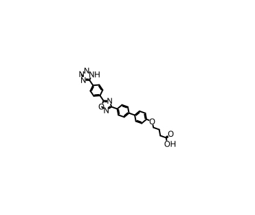 O=C(O)CCCOc1ccc(-c2ccc(-c3noc(-c4ccc(-c5nnn[nH]5)cc4)n3)cc2)cc1